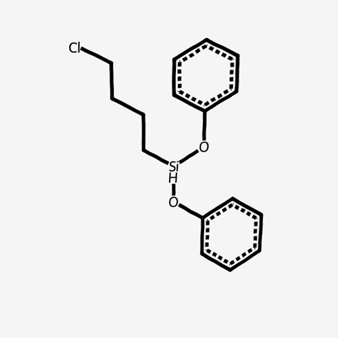 ClCCCC[SiH](Oc1ccccc1)Oc1ccccc1